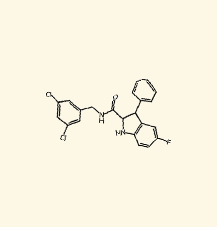 O=C(NCc1cc(Cl)cc(Cl)c1)C1Nc2ccc(F)cc2C1c1ccccc1